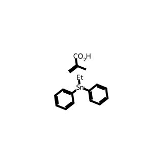 C=C(C)C(=O)O.C[CH2][Sn]([c]1ccccc1)[c]1ccccc1